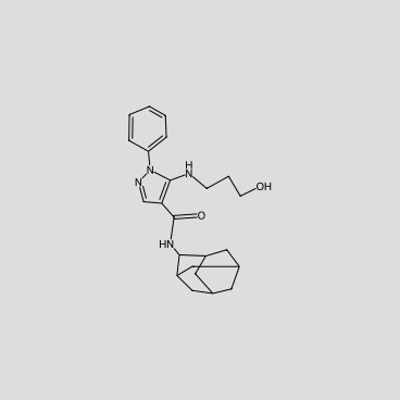 O=C(NC1C2CC3CC(C2)CC1C3)c1cnn(-c2ccccc2)c1NCCCO